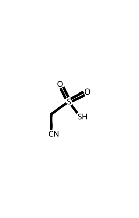 N#CCS(=O)(=O)S